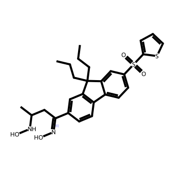 CCCC1(CCC)c2cc(/C(CC(C)NO)=N/O)ccc2-c2ccc(S(=O)(=O)c3cccs3)cc21